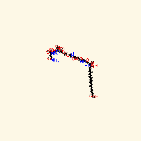 NC(=O)CC[C@H](NC(=O)CC[C@H](NC(=O)COCCOCCNC(=O)COCCOCCNC(=O)CC[C@H](NC(=O)CCCCCCCCCCCCCCCCCCC(=O)O)C(=O)O)C(=O)O)C(=O)O